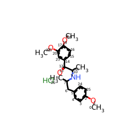 COc1ccc(CC(C)NC(C)C(=O)c2ccc(OC)c(OC)c2)cc1.Cl